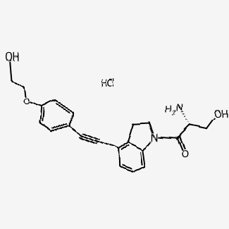 Cl.N[C@H](CO)C(=O)N1CCc2c(C#Cc3ccc(OCCO)cc3)cccc21